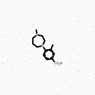 Cc1cc(C(=O)O)ccc1N1CCCN(C)CC1